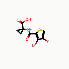 O=C(NC1(C(=O)O)CC1)c1scc(Br)c1Br